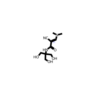 CN(C)/C=C(\C#N)C(=O)NC(CO)(CO)CO